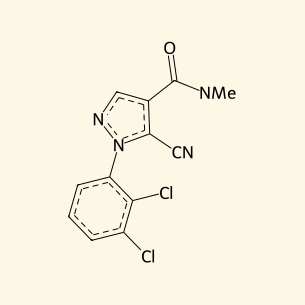 CNC(=O)c1cnn(-c2cccc(Cl)c2Cl)c1C#N